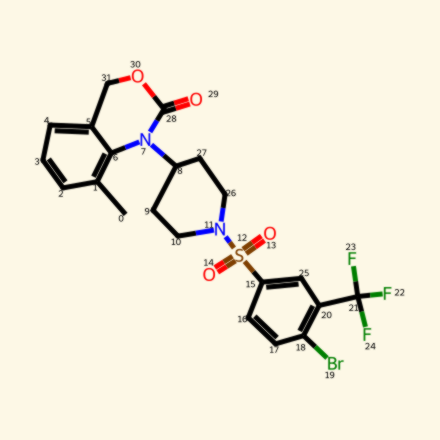 Cc1cccc2c1N(C1CCN(S(=O)(=O)c3ccc(Br)c(C(F)(F)F)c3)CC1)C(=O)OC2